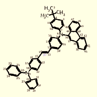 CC(C)(C)c1ccc(N(c2ccc(/C=C/c3ccc(N(c4ccccc4)c4ccccc4)cc3)cc2)c2cc3ccccc3c3ccccc23)cc1